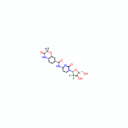 O=C(Nc1ccn(C2O[C@H](CO)[C@@H](O)C2(F)F)c(=O)n1)c1ccc2c(c1)OC1(CC1)C(=O)N2